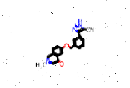 CN1CC(=O)c2cc(OCc3cccc(-c4nn[nH]c4C#N)c3)ccc2C1